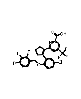 O=C(O)c1cc(C(F)(F)F)cc(C2=C(c3cc(Cl)ccc3OCc3ccc(F)c(F)c3F)CCC2)n1